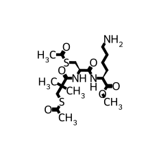 COC(=O)[C@H](CCCCN)NC(=O)[C@H](CSC(C)=O)NC(=O)C(C)(C)CSC(C)=O